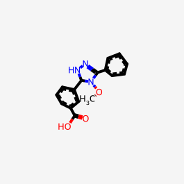 CON1C(c2ccccc2)=NNC1c1cccc(C(=O)O)c1